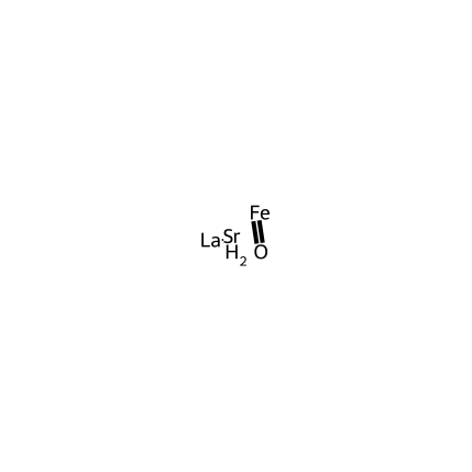 [La].[O]=[Fe].[SrH2]